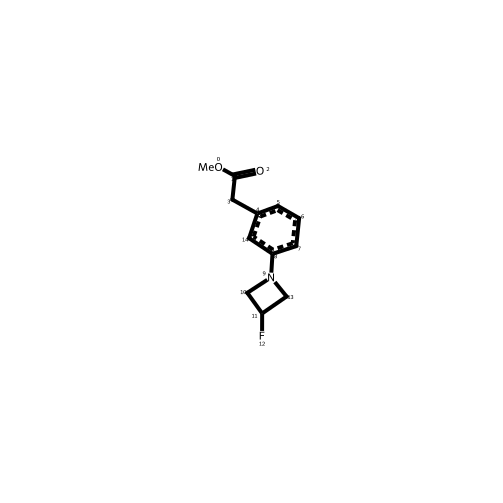 COC(=O)Cc1cccc(N2CC(F)C2)c1